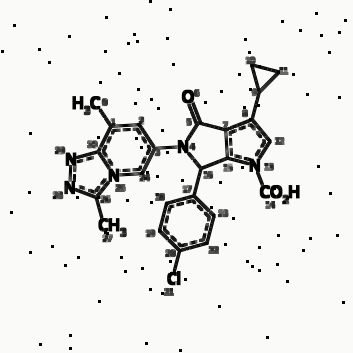 Cc1cc(N2C(=O)c3c(C4CC4)cn(C(=O)O)c3C2c2ccc(Cl)cc2)cn2c(C)nnc12